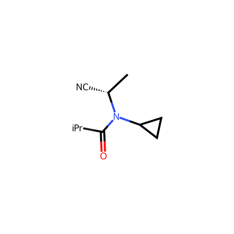 CC(C)C(=O)N(C1CC1)[C@@H](C)C#N